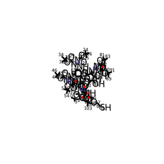 CC(C)(C)OC(=O)/N=C(/NCC1OC(OC2C(N/C(=N\C(=O)OC(C)(C)C)NC(=O)OC(C)(C)C)CC(N/C(=N\C(=O)OC(C)(C)C)NC(=O)OC(C)(C)C)C(O)C2OC2OC(CSCCOCCS)CC2O)C(N/C(=N/C(=O)OC(C)(C)C)NC(=O)OC(C)(C)C)C(O)C1O)NC(=O)OC(C)(C)C